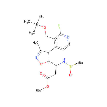 CC1=NOC([C@H](CC(=O)OC(C)(C)C)N[S@+]([O-])C(C)(C)C)C1c1ccnc(F)c1CO[Si](C)(C)C(C)(C)C